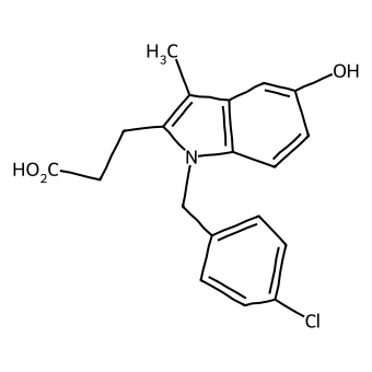 Cc1c(CCC(=O)O)n(Cc2ccc(Cl)cc2)c2ccc(O)cc12